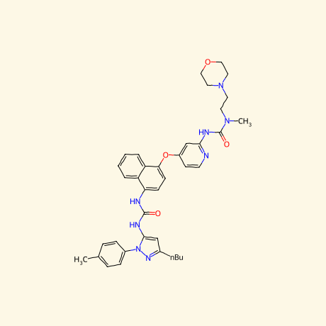 CCCCc1cc(NC(=O)Nc2ccc(Oc3ccnc(NC(=O)N(C)CCN4CCOCC4)c3)c3ccccc23)n(-c2ccc(C)cc2)n1